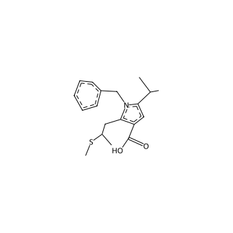 CSC(C)Cc1c(C(=O)O)cc(C(C)C)n1Cc1ccccc1